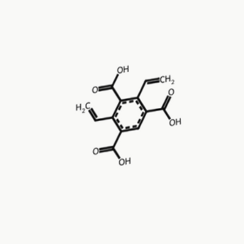 C=Cc1c(C(=O)O)cc(C(=O)O)c(C=C)c1C(=O)O